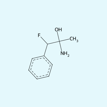 CC(N)(O)C(F)c1ccccc1